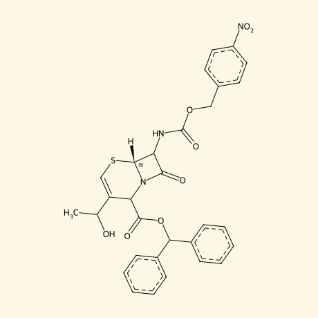 CC(O)C1=CS[C@@H]2C(NC(=O)OCc3ccc([N+](=O)[O-])cc3)C(=O)N2C1C(=O)OC(c1ccccc1)c1ccccc1